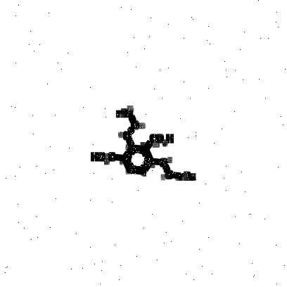 CCCCOOc1ccc(C(=O)O)c(OOCCCC)c1C(=O)O